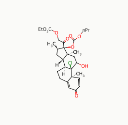 CCCOC(=O)O[C@]1(C(=O)COC(=O)OCC)[C@H](C)C[C@H]2[C@@H]3CCC4=CC(=O)C=C[C@]4(C)[C@@]3(Cl)C(O)C[C@@]21C